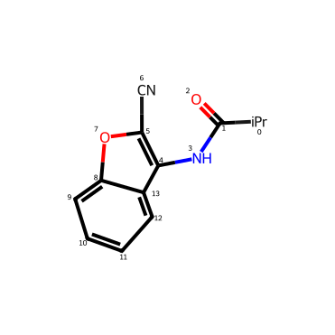 CC(C)C(=O)Nc1c(C#N)oc2ccccc12